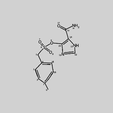 Cc1ccc(CS(=O)(=O)Oc2nc[nH]c2C(N)=O)cc1